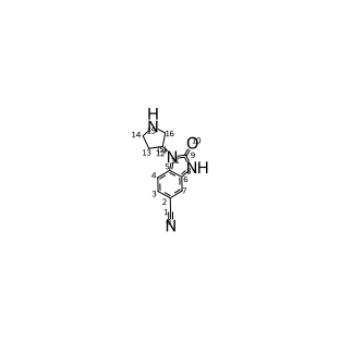 N#Cc1ccc2c(c1)[nH]c(=O)n2[C@H]1CCNC1